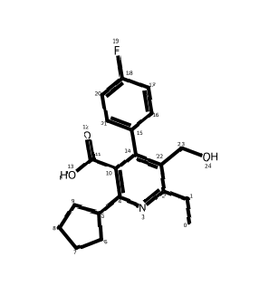 CCc1nc(C2CCCC2)c(C(=O)O)c(-c2ccc(F)cc2)c1CO